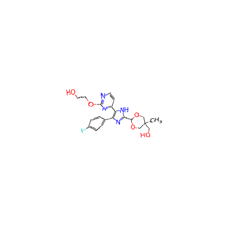 CC1(CO)COC(c2nc(-c3ccc(F)cc3)c(-c3ccnc(OCCO)n3)[nH]2)OC1